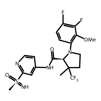 COc1c(N2CCC(C)(C(F)(F)F)[C@H]2C(=O)Nc2ccnc([S@](C)(=N)=O)c2)ccc(F)c1F